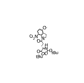 CC(C)(C)OC(=O)N[C@@H](CCC(=O)N1CCc2c([O])ccc([N+](=O)[O-])c21)C(=O)OC(C)(C)C